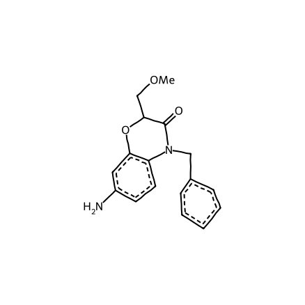 COCC1Oc2cc(N)ccc2N(Cc2ccccc2)C1=O